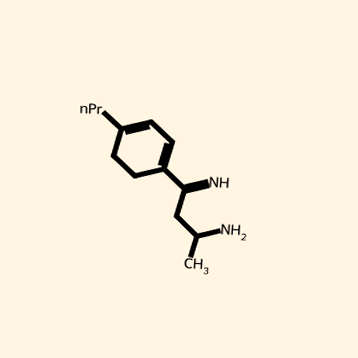 CCCC1=CC=C(C(=N)CC(C)N)CC1